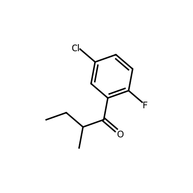 CCC(C)C(=O)c1cc(Cl)ccc1F